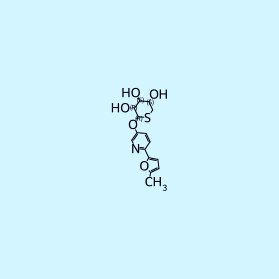 Cc1ccc(-c2ccc(O[C@@H]3SC[C@@H](O)[C@H](O)[C@H]3O)cn2)o1